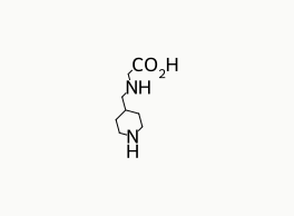 O=C(O)CNCC1CCNCC1